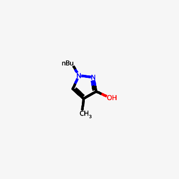 CCCCn1cc(C)c(O)n1